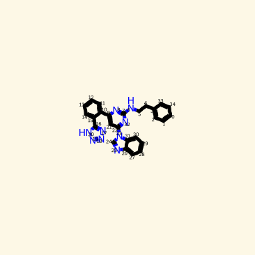 c1ccc(CCNc2nc(-c3ccccc3-c3nnn[nH]3)cc(-n3cnc4ccccc43)n2)cc1